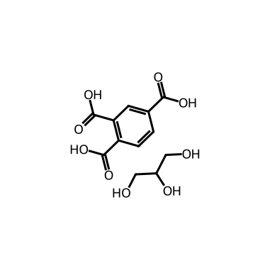 O=C(O)c1ccc(C(=O)O)c(C(=O)O)c1.OCC(O)CO